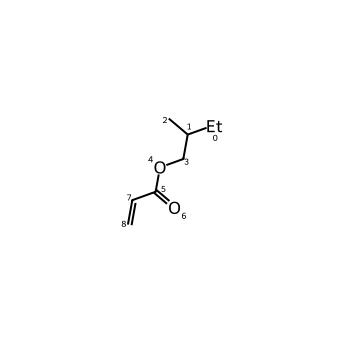 [CH2]CC(C)COC(=O)C=C